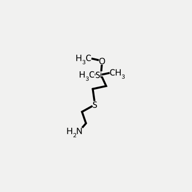 CO[Si](C)(C)CCSCCN